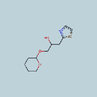 OC(COC1CCCCO1)Cc1nccs1